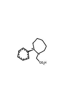 O=C(O)CN1CCCCC[C@@H]1c1ccccc1